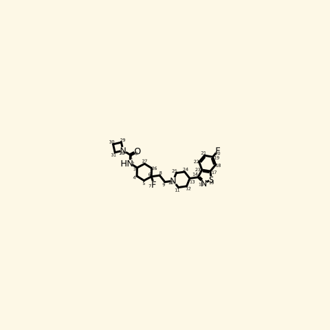 O=C(NC1CCC(F)(CCN2CCC(c3nsc4cc(F)ccc34)CC2)CC1)N1CCC1